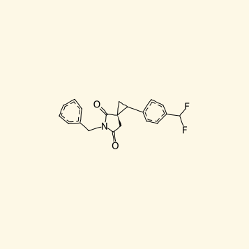 O=C1C[C@]2(CC2c2ccc(C(F)F)cc2)C(=O)N1Cc1ccccc1